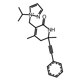 CC1=C(C[N+]2(C(C)C)C=CC=N2)C(=O)NC(C)(C#Cc2ccccc2)C1